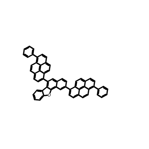 c1ccc(-c2ccc3ccc4c(-c5ccc6cc(-c7ccc8ccc9c(-c%10ccccc%10)ccc%10ccc7c8c%109)c7c8ccccc8oc7c6c5)ccc5ccc2c3c54)cc1